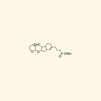 COC(=O)CCCC1=CC2CC(OC3CCCCO3)C(C=O)C2CC1